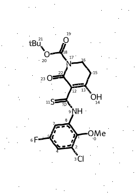 COc1c(Cl)cc(F)cc1NC(=S)C1=C(O)CCN(C(=O)OC(C)(C)C)C1=O